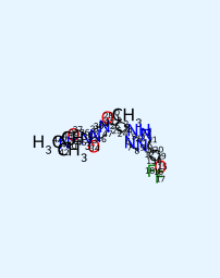 Cc1cc(Nc2nccn3c(-c4ccc(OC(F)F)cc4)cnc23)ccc1C(=O)N1CCN(C(=O)N2CCOC(C[N+](C)(C)C)C2)CC1